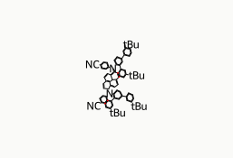 CC(C)(C)c1cccc(-c2ccc(N(C3=C4C=CC5=C6C(=CC=C(C=C3)C46)C(N(c3ccc(C#N)cc3)c3ccc(-c4cccc(C(C)(C)C)c4)cc3-c3cccc(C(C)(C)C)c3)C=C5)c3ccc(C#N)cc3)c(-c3cccc(C(C)(C)C)c3)c2)c1